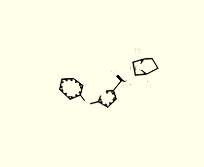 O=C(N[C@@H]1C[C@H]2CC[C@@H]1N2)c1ccc(Sc2ccccc2)o1